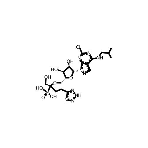 CC(C)CNc1nc(Cl)nc2c1cnn2[C@@H]1O[C@H](CO[C@](CO)(CCc2nn[nH]n2)P(=O)(O)O)[C@@H](O)[C@H]1O